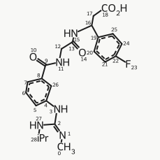 CN=C(Nc1cccc(C(=O)NCC(=O)NC(CC(=O)O)c2ccc(F)cc2)c1)NC(C)C